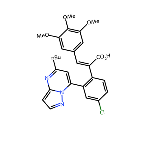 CCCCc1cc(-c2cc(Cl)ccc2C(=Cc2cc(OC)c(OC)c(OC)c2)C(=O)O)n2nccc2n1